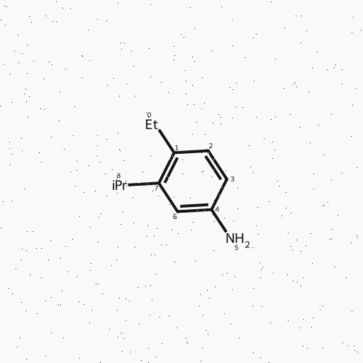 CCc1ccc(N)cc1C(C)C